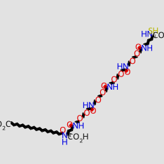 O=C(O)CCCCCCCCCCCCCCCCCCC(=O)N[C@H](CCC(=O)NCCOCCOCC(=O)NCCOCCOCC(=O)NCCOCCOCC(=O)NCCOCCOCC(=O)NCCCC[C@H](NS)C(=O)O)C(=O)O